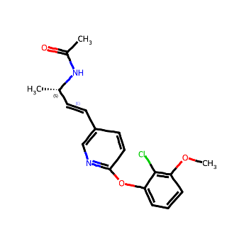 COc1cccc(Oc2ccc(/C=C/[C@H](C)NC(C)=O)cn2)c1Cl